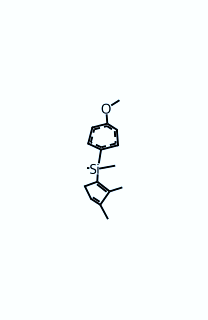 COc1ccc([Si](C)(C)C2=C(C)C(C)=CC2)cc1